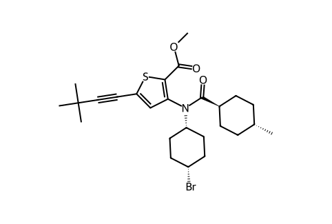 COC(=O)c1sc(C#CC(C)(C)C)cc1N(C(=O)[C@H]1CC[C@H](C)CC1)[C@H]1CC[C@@H](Br)CC1